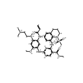 C=CC(=O)Nc1cc(Nc2ncc(C(=O)OC)c(Nc3cccc4c3N(S(C)(=O)=O)CCC4)n2)c(OC)cc1N(C)CCN(C)C